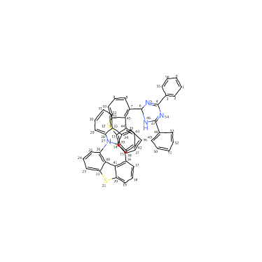 c1ccc(C2=NC(c3cccc4sc5cc(-c6cccc7sc8cccc(-n9c%10ccccc%10c%10ccccc%109)c8c67)ccc5c34)NC(c3ccccc3)=N2)cc1